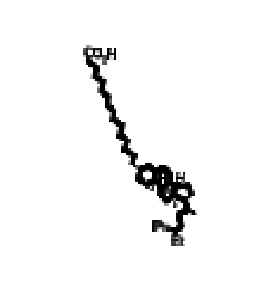 CC[C@H](CC[C@@H](C)[C@H]1CC[C@H]2[C@@H]3CC=C4C[C@@H](CCCCCCCCCCCCCCCC(=O)O)CC[C@]4(C)[C@H]3CC[C@]12C)C(C)C